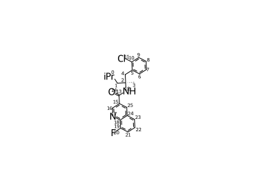 CC(C)C[C@@](C)(Cc1ccccc1Cl)NC(=O)c1cnc2c(F)cccc2c1